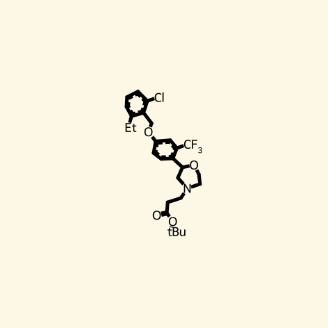 CCc1cccc(Cl)c1COc1ccc(C2CN(CCC(=O)OC(C)(C)C)CCO2)c(C(F)(F)F)c1